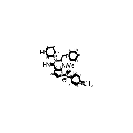 CNc1c(C(=N)N(CCN2CCCCC2)C2CCCNC2)ccn1S(=O)(=O)c1ccc(C)cc1